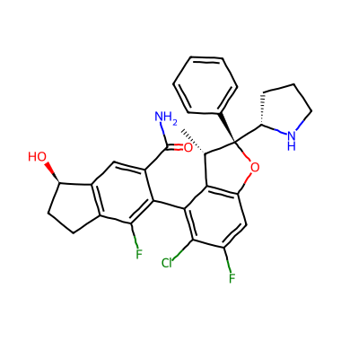 C[C@H]1c2c(cc(F)c(Cl)c2-c2c(C(N)=O)cc3c(c2F)CC[C@H]3O)O[C@@]1(c1ccccc1)[C@@H]1CCCN1